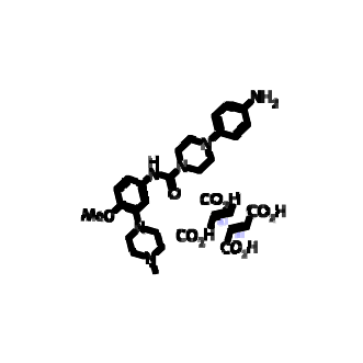 COc1ccc(NC(=O)N2CCN(c3ccc(N)cc3)CC2)cc1N1CCN(C)CC1.O=C(O)/C=C/C(=O)O.O=C(O)/C=C/C(=O)O